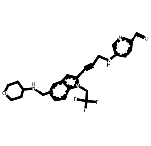 O=Cc1ccc(NCC#Cc2cc3cc(CNC4CCOCC4)ccc3n2CC(F)(F)F)cn1